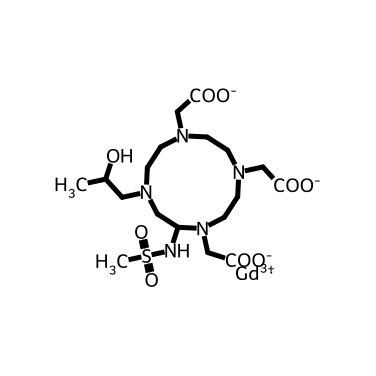 CC(O)CN1CCN(CC(=O)[O-])CCN(CC(=O)[O-])CCN(CC(=O)[O-])C(NS(C)(=O)=O)C1.[Gd+3]